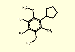 COc1c(C)c(C)c(OC)c(C2CCCO2)c1C